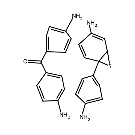 NC1=CC2SC2(c2ccc(N)cc2)C=C1.Nc1ccc(C(=O)c2ccc(N)cc2)cc1